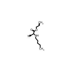 C=CCOC(=O)C(C#N)NCCCCC